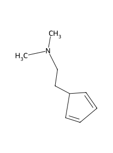 CN(C)CCC1C=CC=C1